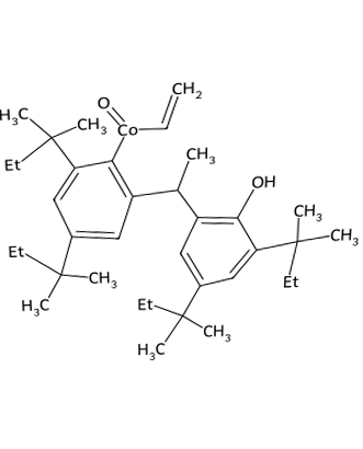 C=[CH][Co](=[O])[c]1c(C(C)c2cc(C(C)(C)CC)cc(C(C)(C)CC)c2O)cc(C(C)(C)CC)cc1C(C)(C)CC